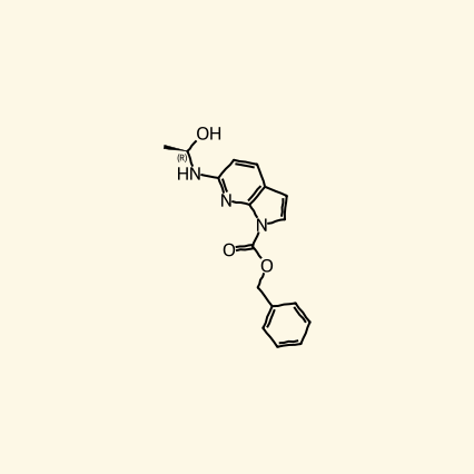 C[C@@H](O)Nc1ccc2ccn(C(=O)OCc3ccccc3)c2n1